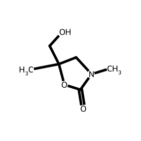 CN1CC(C)(CO)OC1=O